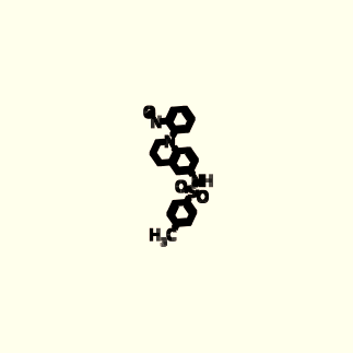 Cc1ccc(S(=O)(=O)Nc2ccc3c(c2)CCCN3c2ccccc2N=O)cc1